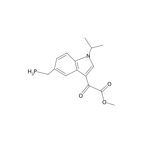 COC(=O)C(=O)c1cn(C(C)C)c2ccc(CP)cc12